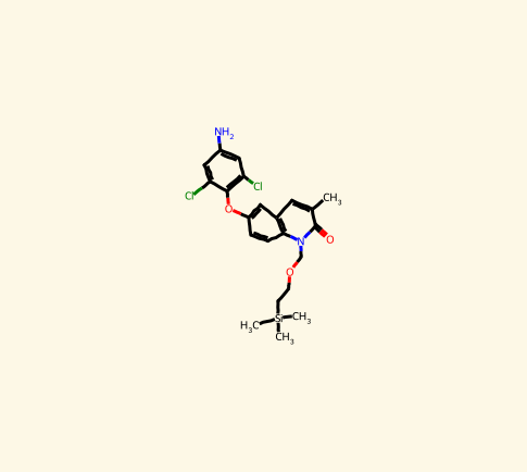 Cc1cc2cc(Oc3c(Cl)cc(N)cc3Cl)ccc2n(COCC[Si](C)(C)C)c1=O